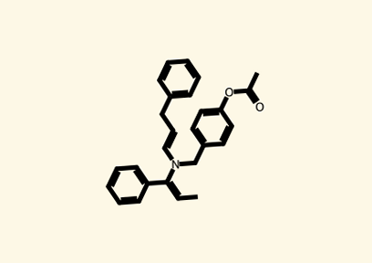 C/C=C(/c1ccccc1)N(/C=C/Cc1ccccc1)Cc1ccc(OC(C)=O)cc1